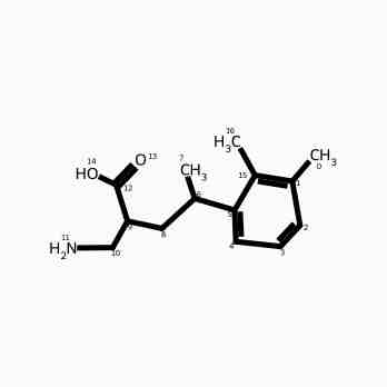 Cc1cccc(C(C)CC(CN)C(=O)O)c1C